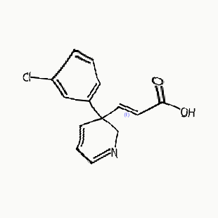 O=C(O)/C=C/C1(c2cccc(Cl)c2)C=CC=NC1